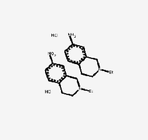 CCN1CCc2ccc(N)cc2C1.CCN1CCc2ccc([N+](=O)[O-])cc2C1.Cl.Cl